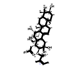 C/C=C(/C)C(=O)O[C@H]1[C@H](CC(=O)C(C)C)[C@@]2(CO)C(C[C@]1(O)S)C1=CCC3[C@@]4(C)CC[C@H](O)[C@@](C)(S)C4CC[C@@]3(C)[C@]1(C)[C@@H](O)[C@H]2O